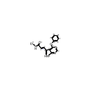 CCNC(=O)/C=C/c1c[nH]c2ncnc(Oc3ccccc3)c12